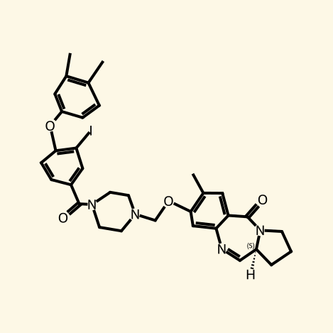 Cc1ccc(Oc2ccc(C(=O)N3CCN(COc4cc5c(cc4C)C(=O)N4CCC[C@H]4C=N5)CC3)cc2I)cc1C